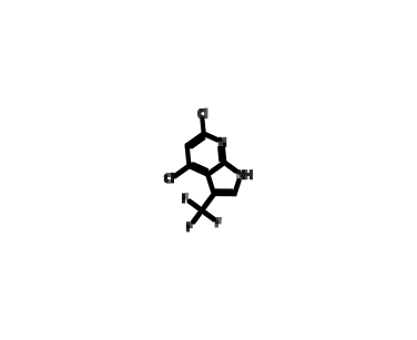 FC(F)(F)c1c[nH]c2nc(Cl)cc(Cl)c12